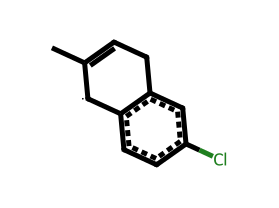 CC1=CCc2cc(Cl)ccc2[CH]1